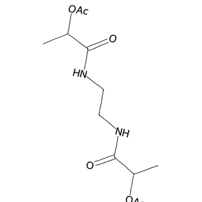 CC(=O)OC(C)C(=O)NCCNC(=O)C(C)OC(C)=O